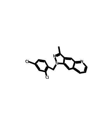 Cc1nn(Cc2ccc(Cl)cc2Cl)c2cc3cccnc3cc12